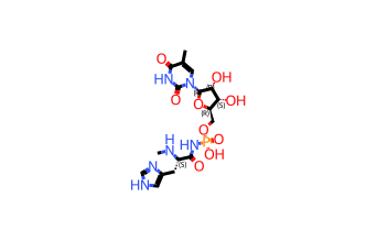 CN[C@@H](Cc1c[nH]cn1)C(=O)NP(=O)(O)OC[C@H]1O[C@@H](n2cc(C)c(=O)[nH]c2=O)[C@H](O)[C@@H]1O